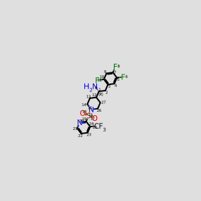 N[C@H](Cc1cc(F)c(F)cc1F)C1CCN(S(=O)(=O)c2ncccc2C(F)(F)F)CC1